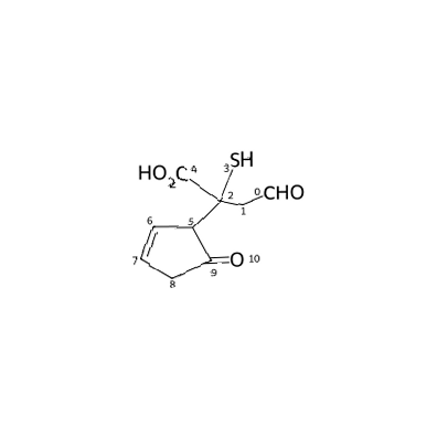 O=CCC(S)(C(=O)O)C1C=CCC1=O